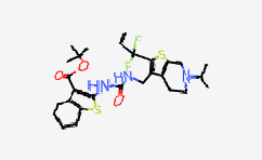 C=CC(F)(F)c1sc2c(c1CNC(=O)Nc1sc3c(c1C(=O)OC(C)(C)C)CCCC3)CCN(C(C)C)C2